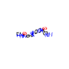 CCNC(=O)Nc1ccc(-c2ccnc(Nc3ccc(N4CCN(C(=O)C5CCNCC5)CC4)cc3)n2)cc1